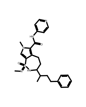 CN=S1(=O)NC(C(C)CCc2ccccc2)CCc2c1cn(C)c2C(=O)Nc1ccncc1